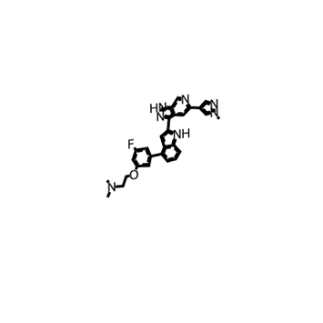 CN(C)CCOc1cc(F)cc(-c2cccc3[nH]c(-c4n[nH]c5cnc(-c6cnn(C)c6)cc45)cc23)c1